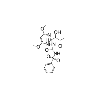 COC1=CC(OC)=NC(NC(=O)NS(=O)(=O)c2ccccc2)(C(O)C(C)Cl)N1